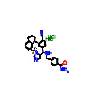 Cl.Cl.Cn1cncc1C(NCc1ccc(C(N)=O)cc1)c1ccc(C#N)c(-c2cccc3ccccc23)c1